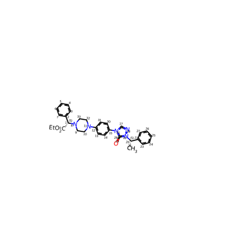 CCOC(=O)[C@H](c1ccccc1)N1CCN(c2ccc(-n3cnn([C@@H](C)c4ccccc4)c3=O)cc2)CC1